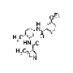 CCOc1ccnc(C(=O)Nc2ccc(C)c(NC(=O)c3cncn3C)c2)c1